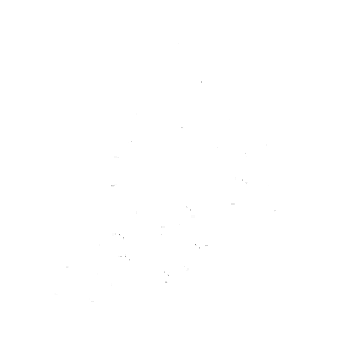 Cc1ccc(COc2cc(F)cc(Oc3ccc(-c4nn(CC5(C)COC5)c5ncnc(N)c45)cc3)c2)n1C